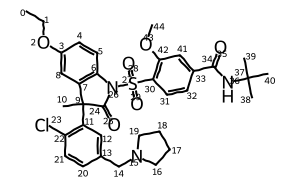 CCOc1ccc2c(c1)C(C)(c1cc(CN3CCCC3)ccc1Cl)C(=O)N2S(=O)(=O)c1ccc(C(=O)NC(C)(C)C)cc1OC